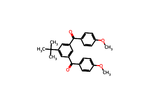 COc1ccc(C(=O)c2cc(C(=O)c3ccc(OC)cc3)cc(C(C)(C)C)c2)cc1